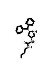 CCCCNC(=S)N[C@H]1CN[C@@H](C(c2ccccc2)c2ccccc2)C1